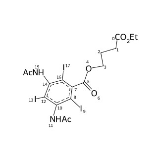 CCOC(=O)CCCOC(=O)c1c(I)c(NC(C)=O)c(I)c(NC(C)=O)c1I